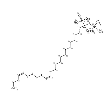 CCC/C=C\CCCC/C=C\CCCCCCCCCCCCCC(O)(C[N+](C)(C)C)P(=O)(O)O